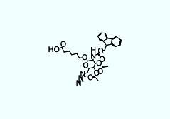 CC(=O)OC1C(CN=[N+]=[N-])OC(OCCCCCC(=O)O)C(NC(=O)OCC2c3ccccc3-c3ccccc32)C1OC(C)=O